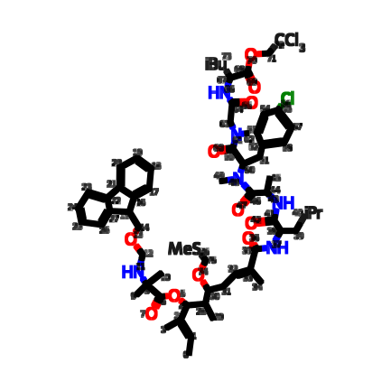 C/C=C(\C)C(OC(=O)C(C)(C)NCOCC1c2ccccc2-c2ccccc21)C(C)C(C/C=C(\C)C(=O)NC(CC(C)C)C(=O)NC(C)C(=O)N(C)C(Cc1ccc(Cl)cc1)C(=O)N(C)CC(=O)NC(C(=O)OCC(Cl)(Cl)Cl)C(C)CC)OCSC